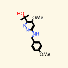 COc1ccc(CNc2cc(OC)c(C(C)(C)O)nn2)cc1